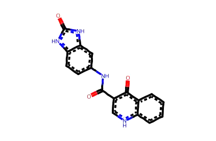 O=C(Nc1ccc2[nH]c(=O)[nH]c2c1)c1c[nH]c2ccccc2c1=O